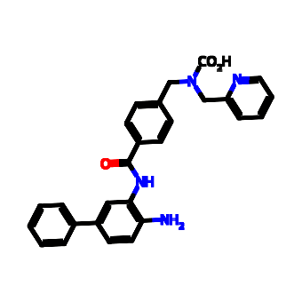 Nc1ccc(-c2ccccc2)cc1NC(=O)c1ccc(CN(Cc2ccccn2)C(=O)O)cc1